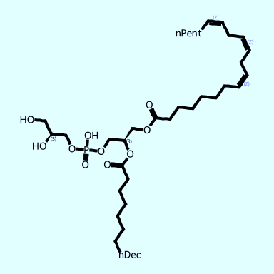 CCCCC/C=C\C/C=C\C/C=C\CCCCCCC(=O)OC[C@H](COP(=O)(O)OC[C@@H](O)CO)OC(=O)CCCCCCCCCCCCCCCC